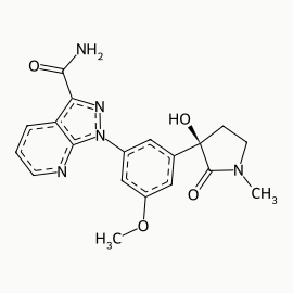 COc1cc(-n2nc(C(N)=O)c3cccnc32)cc([C@]2(O)CCN(C)C2=O)c1